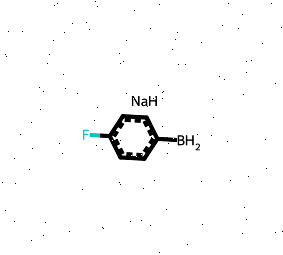 Bc1ccc(F)cc1.[NaH]